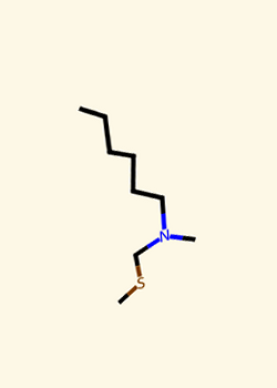 CCCCCCN(C)CSC